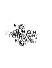 CC(C)(C)OC(=O)N(O)[C@@H](CCO)c1cncc(Br)c1.CC(C)(C)OC(=O)N1OCC[C@H]1c1cncc(Br)c1